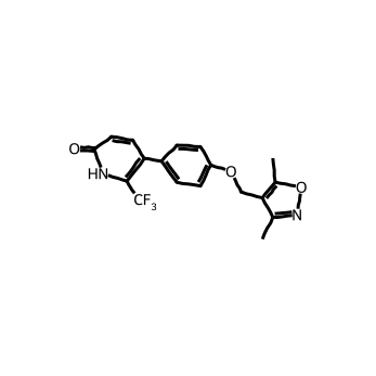 Cc1noc(C)c1COc1ccc(-c2ccc(=O)[nH]c2C(F)(F)F)cc1